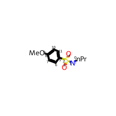 CCC[N]S(=O)(=O)c1ccc(OC)cc1